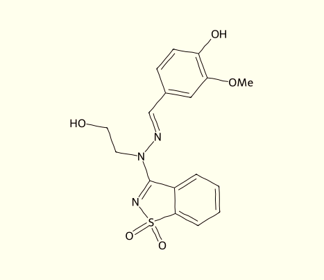 COc1cc(C=NN(CCO)C2=NS(=O)(=O)c3ccccc32)ccc1O